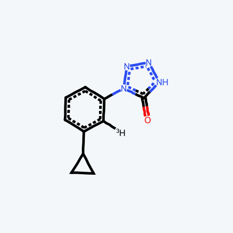 [3H]c1c(C2CC2)cccc1-n1nn[nH]c1=O